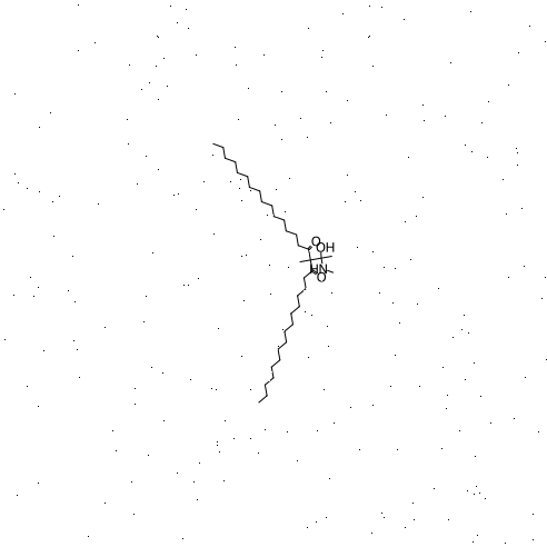 CCCCCCCCCCCCCCCC(=O)C(C)(C(=O)CCCCCCCCCCCCCCC)C(C)(O)NC